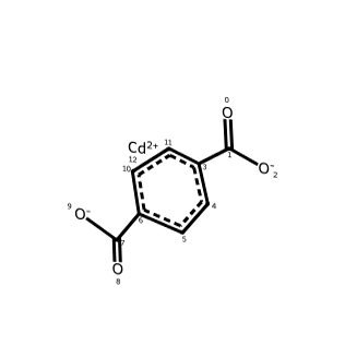 O=C([O-])c1ccc(C(=O)[O-])cc1.[Cd+2]